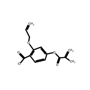 C=CCOc1cc(OC(=O)C(=C)C)ccc1C(=O)Cl